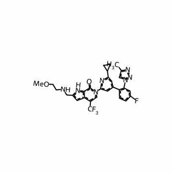 COCCNCc1cc2c(C(F)(F)F)cn(-c3cc(-c4ccc(F)cc4-n4cc(C)nn4)cc(C4CC4)n3)c(=O)c2[nH]1